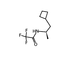 C[C@H](CC1CCC1)NC(=O)C(F)(F)F